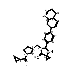 O=C(C1CC1)N1CC[C@@H](CN2C(=O)C3(CC3)NC2c2ccc(C3C=CC4CCC=NC4C3)cc2)C1